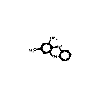 Cc1cc(N)c(Nc2ccccc2)c(S)c1